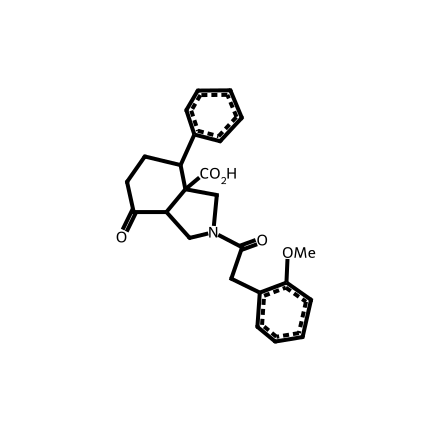 COc1ccccc1CC(=O)N1CC2C(=O)CCC(c3ccccc3)C2(C(=O)O)C1